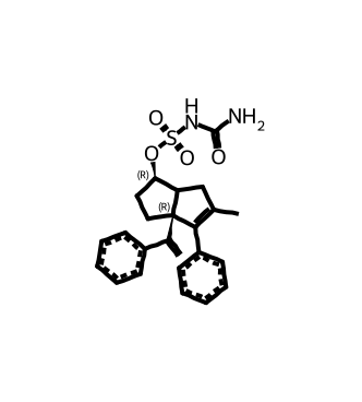 C=C(c1ccccc1)[C@@]12CC[C@@H](OS(=O)(=O)NC(N)=O)C1CC(C)=C2c1ccccc1